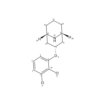 Clc1cccc(O[C@H]2C[C@H]3CCC[C@@H](C2)N3)c1Cl